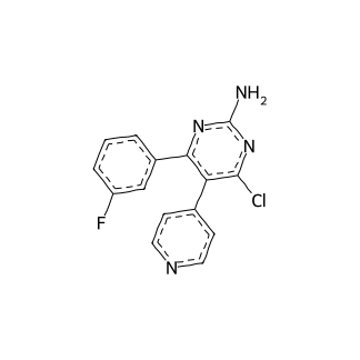 Nc1nc(Cl)c(-c2ccncc2)c(-c2cccc(F)c2)n1